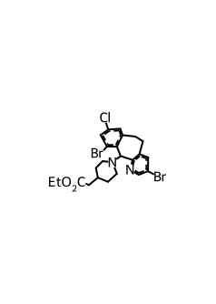 CCOC(=O)CC1CCN(C2c3ncc(Br)cc3CCc3cc(Cl)cc(Br)c32)CC1